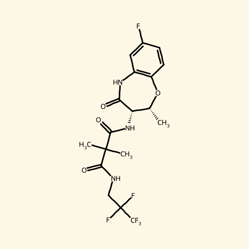 C[C@H]1Oc2ccc(F)cc2NC(=O)[C@H]1NC(=O)C(C)(C)C(=O)NCC(F)(F)C(F)(F)F